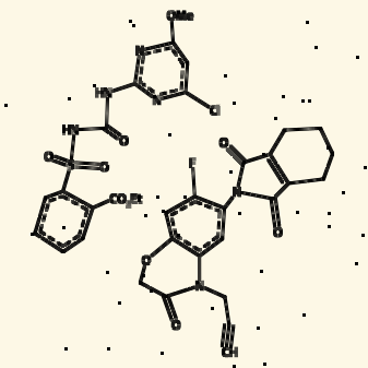 C#CCN1C(=O)COc2cc(F)c(N3C(=O)C4=C(CCCC4)C3=O)cc21.CCOC(=O)c1ccccc1S(=O)(=O)NC(=O)Nc1nc(Cl)cc(OC)n1